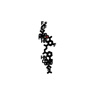 CC(C)c1cc(F)cc(C(C)CCC(C)c2cccc(C(C)C)c2NC(=O)NS(=O)(=O)C2CN(C(C)C)C2)c1NC(=O)NS(=O)(=O)C1CN(CC(F)(F)F)C1